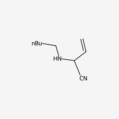 C=CC(C#N)NCCCCC